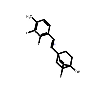 Cc1ccc(/C=C/C23C=C(F)C(O)(CC2)CC3)c(F)c1F